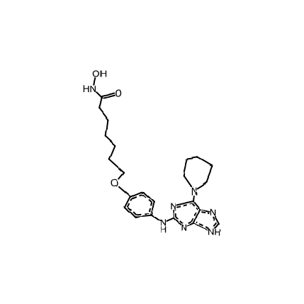 O=C(CCCCCCOc1ccc(Nc2nc(N3CCCCC3)c3nc[nH]c3n2)cc1)NO